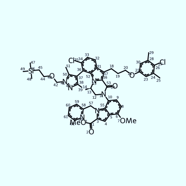 COC(=O)c1cc2c(OC)ccc(N3C[C@@H](C)n4c(c(CCCOc5cc(C)c(Cl)c(C)c5)c5ccc(Cl)c(-c6c(C)nn(COCC[Si](C)(C)C)c6C)c54)C3=O)c2n1Cc1ccccn1